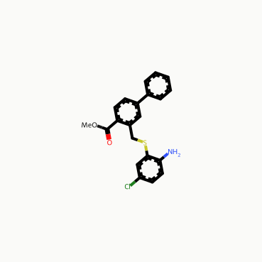 COC(=O)c1ccc(-c2ccccc2)cc1CSc1cc(Cl)ccc1N